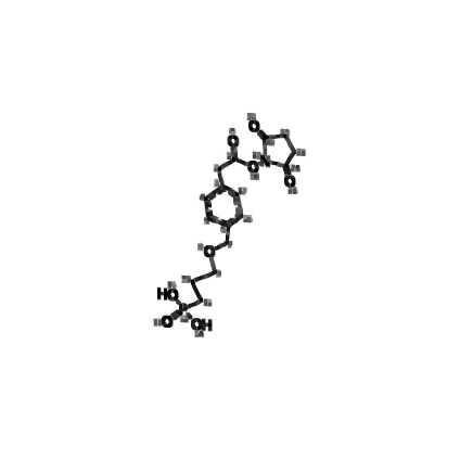 O=C(Cc1ccc(COCCCP(=O)(O)O)cc1)ON1C(=O)CCC1=O